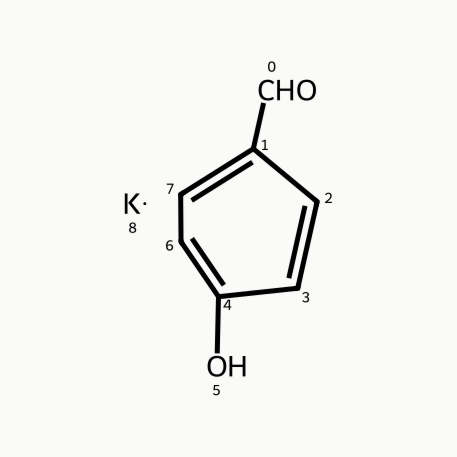 O=Cc1ccc(O)cc1.[K]